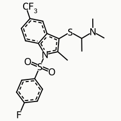 Cc1c(SC(C)N(C)C)c2cc(C(F)(F)F)ccc2n1S(=O)(=O)c1ccc(F)cc1